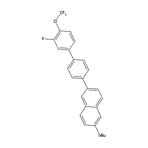 CCCCc1ccc2cc(-c3ccc(-c4ccc(OC(F)(F)F)c(F)c4)cc3)ccc2c1